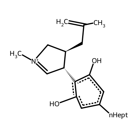 C=C(C)C[C@@H]1C[N+](C)=C[C@H]1c1c(O)cc(CCCCCCC)cc1O